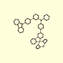 c1ccc(N(c2ccc(-c3ccc4c(c3)-c3ccccc3C43c4ccccc4Oc4ccccc43)cc2)c2cccc(-c3ccc(-n4c5ccccc5c5ccccc54)cc3)c2)cc1